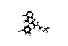 Cc1cccc2nc(C(C)NC(=O)OC(C)(C)C)n(-c3cc(F)cc(F)c3)c(=O)c12